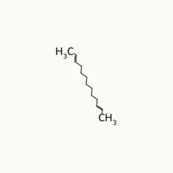 CC=CCCCCCCCC=CC